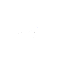 Cc1cc2c(cc1N1CCC(F)(F)C1)C[C@H]1[C@H]3CCCCC2C3CCN1C